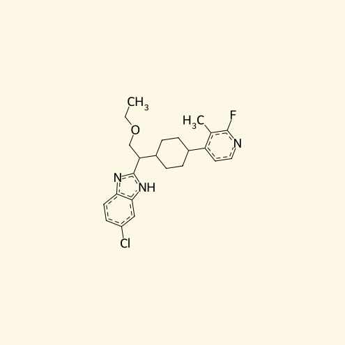 CCOCC(c1nc2ccc(Cl)cc2[nH]1)C1CCC(c2ccnc(F)c2C)CC1